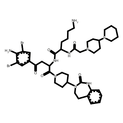 NCCCCC(NC(=O)CN1CCC(N2CCCCC2)CC1)C(=O)NC(CC(=O)c1cc(Br)c(N)c(Br)c1)C(=O)N1CCC(N2CCc3ccccc3NC2=O)CC1